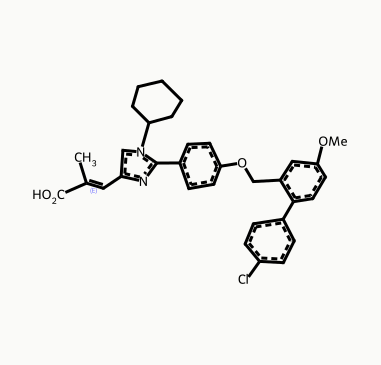 COc1ccc(-c2ccc(Cl)cc2)c(COc2ccc(-c3nc(/C=C(\C)C(=O)O)cn3C3CCCCC3)cc2)c1